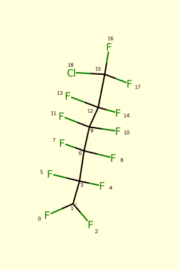 F[C](F)C(F)(F)C(F)(F)C(F)(F)C(F)(F)C(F)(F)Cl